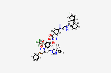 CC1(C)CN(CC[C@H](CSc2ccccc2)Nc2ccc(S(=O)(=O)NC(=O)c3ccc(NCCNCc4ccccc4-c4ccc(Cl)cc4)cc3)cc2S(=O)(=O)C(F)(F)F)C=N1